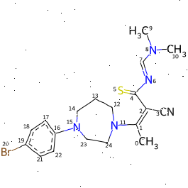 CC(=C(C#N)C(=S)N=CN(C)C)N1CCCN(c2ccc(Br)cc2)CC1